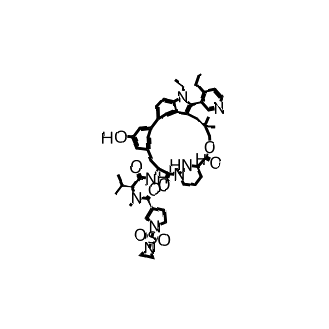 CCc1ccncc1-c1c2c3cc(ccc3n1CC)-c1cc(O)cc(c1)C[C@H](NC(=O)[C@H](C(C)C)N(C)C(=O)[C@H]1CCN(S(=O)(=O)N3CC3)C1)C(=O)N1CCC[C@H](N1)C(=O)OCC(C)(C)C2